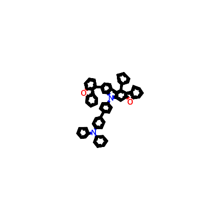 c1ccc(-c2c3c(cc4c2c2ccc(-c5cccc6oc7ccccc7c56)cc2n4-c2ccc(-c4ccc(N(c5ccccc5)c5ccccc5)cc4)cc2)oc2ccccc23)cc1